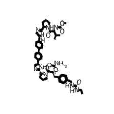 CCNC(=O)NCc1ccc(C[C@H](OC(N)=O)C(=O)N2CCC[C@H]2c2ncc(-c3ccc(-c4ccc(-c5cnc(C6CCCN6C(=O)[C@@H](NC(=O)OC)C(C)C)[nH]5)cc4)cc3)[nH]2)cc1